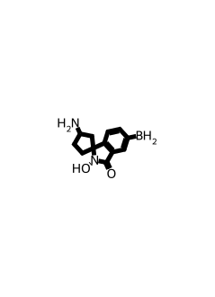 Bc1ccc2c(c1)C(=O)N(O)C21CCC(N)C1